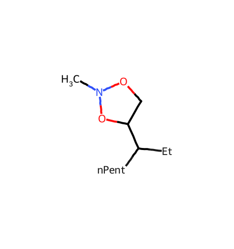 CCCCCC(CC)C1CON(C)O1